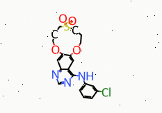 O=S1(=O)CCCOc2cc3ncnc(Nc4cccc(Cl)c4)c3cc2OCCC1